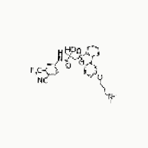 CN(C)CCCOc1cccc(-c2ccccc2S(=O)(=O)CC(C)(O)C(=O)Nc2ccc(C#N)c(C(F)(F)F)c2)c1